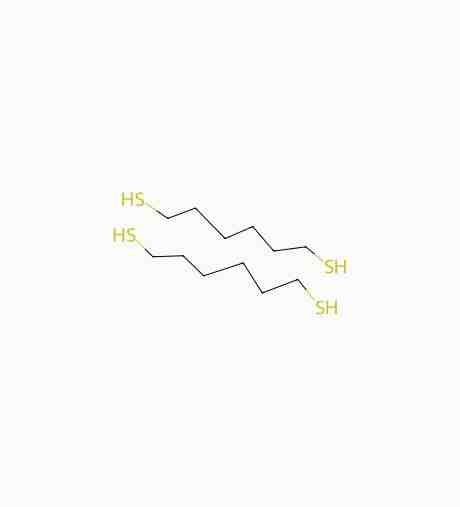 SCCCCCCS.SCCCCCCS